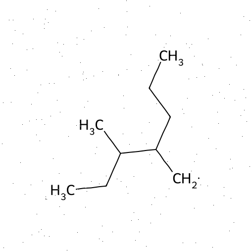 [CH2]C(CCC)C(C)CC